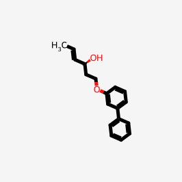 C/C=C/[C@@H](O)CCOc1cccc(-c2ccccc2)c1